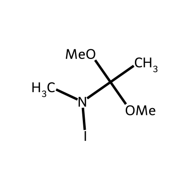 COC(C)(OC)N(C)I